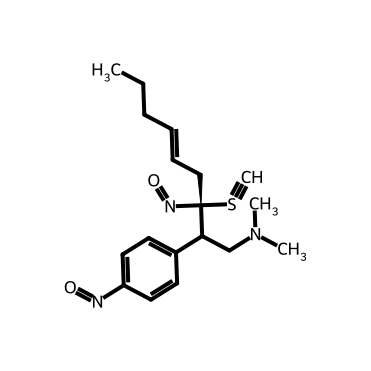 C#S[C@@](CC=CCCC)(N=O)C(CN(C)C)c1ccc(N=O)cc1